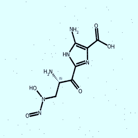 Nc1[nH]c(C(=O)[C@@H](N)CN(O)N=O)nc1C(=O)O